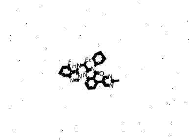 CCC(Nc1ncnc2cccc(F)c12)c1nc2cccc(-c3cnc(C)nc3)c2c(=O)n1-c1ccccc1